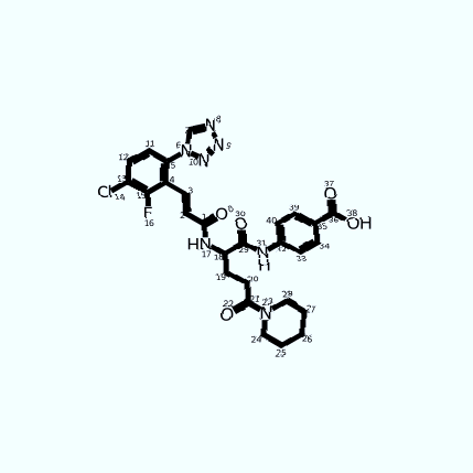 O=C(C=Cc1c(-n2cnnn2)ccc(Cl)c1F)NC(CCC(=O)N1CCCCC1)C(=O)Nc1ccc(C(=O)O)cc1